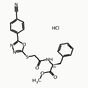 COC(=O)[C@H](Cc1ccccc1)NC(=O)CSc1nnc(-c2ccc(C#N)cc2)o1.Cl